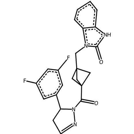 O=C(N1N=CCC1c1cc(F)cc(F)c1)C12CC(Cn3c(=O)[nH]c4ccccc43)(C1)C2